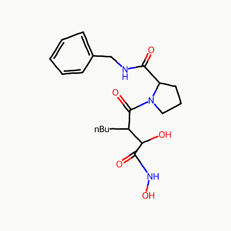 CCCCC(C(=O)N1CCCC1C(=O)NCc1ccccc1)C(O)C(=O)NO